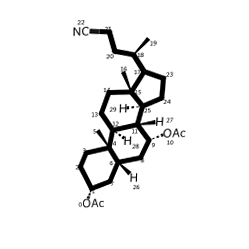 CC(=O)O[C@@H]1CC[C@@]2(C)[C@@H](C1)C[C@@H](OC(C)=O)[C@@H]1[C@@H]2CC[C@]2(C)C([C@H](C)CCC#N)CC[C@@H]12